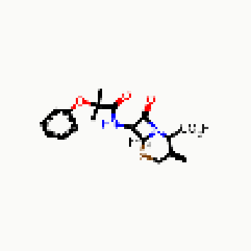 C=C1CS[C@H]2C(NC(=O)C(C)(C)Oc3ccccc3)C(=O)N2C1C(=O)O